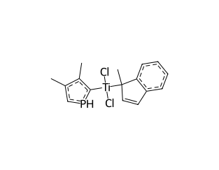 Cc1c[pH][c]([Ti]([Cl])([Cl])[C]2(C)C=Cc3ccccc32)c1C